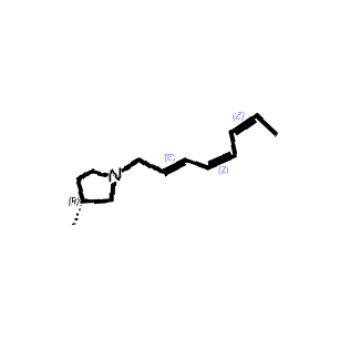 C\C=C/C=C\C=C\CN1CC[C@@H](C)C1